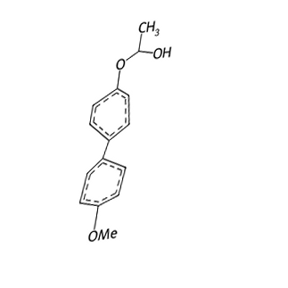 COc1ccc(-c2ccc(OC(C)O)cc2)cc1